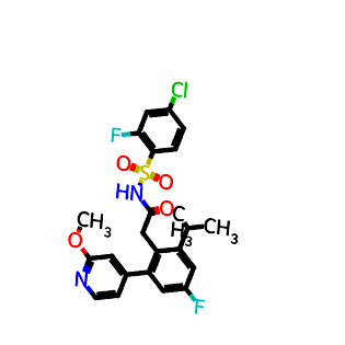 COc1cc(-c2cc(F)cc(C(C)C)c2CC(=O)NS(=O)(=O)c2ccc(Cl)cc2F)ccn1